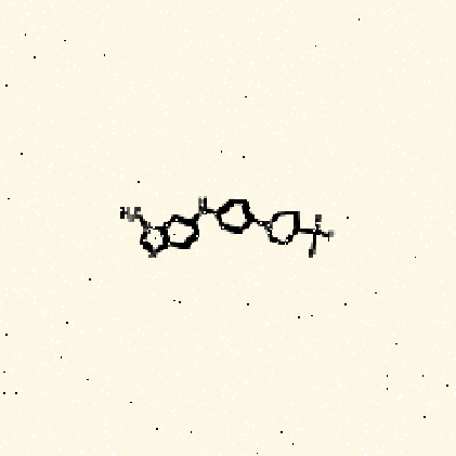 Cn1cnc2ccc(Nc3ccc(N4CCC(C(F)(F)F)CC4)cc3)cc21